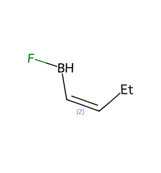 CC/C=C\BF